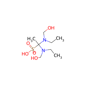 CCN(CO)C(C)(N(CC)CO)S(=O)(=O)O